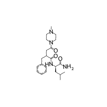 CC(C)C[C@@H](NC(=O)C(CC(=O)N1CCN(C)CC1)Cc1ccccc1)C(N)=O